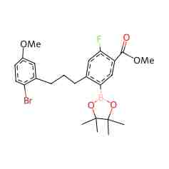 COC(=O)c1cc(B2OC(C)(C)C(C)(C)O2)c(CCCc2cc(OC)ccc2Br)cc1F